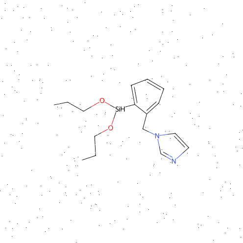 CCCO[SiH](OCCC)c1ccccc1Cn1ccnc1